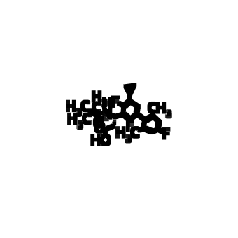 Cc1cc(F)cc(C)c1-c1cc(C2CC2)c(F)c([C@H](CC(=O)O)N[S@+]([O-])C(C)(C)C)c1F